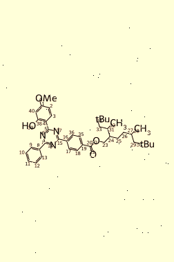 COc1ccc(-c2nc(-c3ccccc3)nc(-c3ccc(C(=O)OCC(CCC(C)CC(C)(C)C)C(C)CC(C)(C)C)cc3)n2)c(O)c1